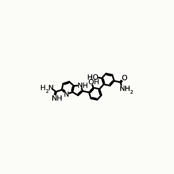 N=C(N)c1ccc2[nH]c(-c3cccc(-c4cc(C(N)=O)ccc4O)c3O)cc2n1